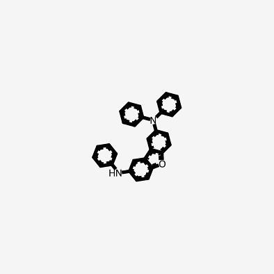 c1ccc(Nc2ccc3oc4ccc(N(c5ccccc5)c5ccccc5)cc4c3c2)cc1